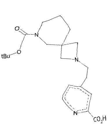 CC(C)(C)OC(=O)N1CCCC2(CN(Cc3ccnc(C(=O)O)c3)C2)C1